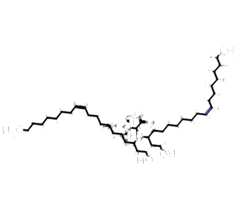 CCCCCCCC/C=C\CCCCCCCC(CCO)N(C(CCO)CCCCCCC/C=C\CCCCCCCC)C(C(=O)[O-])[N+](C)(C)C